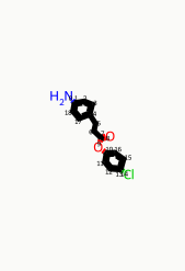 Nc1ccc(CCC(=O)Oc2ccc(Cl)cc2)cc1